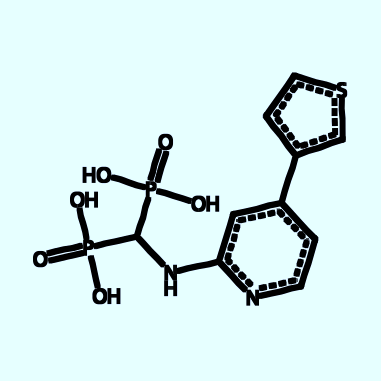 O=P(O)(O)C(Nc1cc(-c2ccsc2)ccn1)P(=O)(O)O